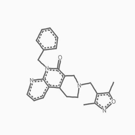 Cc1noc(C)c1CN1CCc2c(c(=O)n(Cc3ccccc3)c3ncccc23)C1